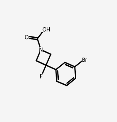 O=C(O)N1CC(F)(c2cccc(Br)c2)C1